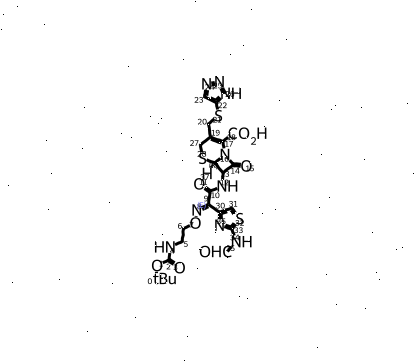 CC(C)(C)OC(=O)NCCO/N=C(/C(=O)NC1C(=O)N2C(C(=O)O)=C(CSc3cnn[nH]3)CS[C@H]12)c1csc(NC=O)n1